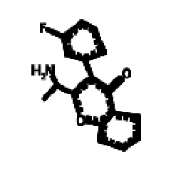 CC(N)c1oc2ccccc2c(=O)c1-c1cccc(F)c1